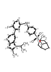 CCN1C2CCC1CN(S(=O)(=O)c1ccc(Nc3ncc(F)c(-c4cnc5nc(C)n(C(C)C)c5c4)n3)nc1)C2